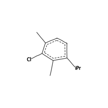 Cc1ccc(C(C)C)c(C)c1Cl